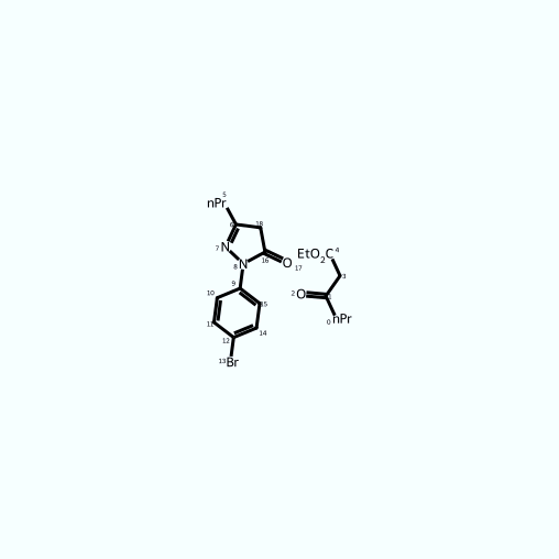 CCCC(=O)CC(=O)OCC.CCCC1=NN(c2ccc(Br)cc2)C(=O)C1